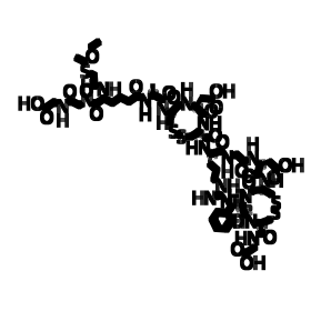 CCOC(C)SCC(=O)NC(CCCC(=O)N[C@@H](C)C(=O)N[C@H]1CSSC[C@@H](C(=O)N[C@@H](CCCNC(=N)N)C(=O)NCC(=O)N[C@@H](CC(=O)O)C(=O)N[C@H]2CSSC[C@@H](C(=O)NCC(=O)O)NC(=O)[C@H](Cc3ccccc3)NC2=O)NC(=O)[C@H](CC(=O)O)NC1=O)C(=O)NCC(=O)NCC(=O)O